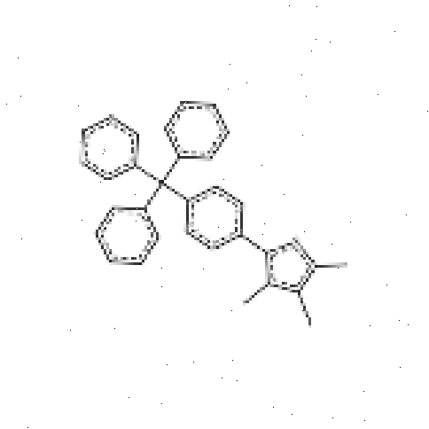 Cc1sc(-c2ccc(C(c3ccccc3)(c3ccccc3)c3ccccc3)cc2)c(C)c1I